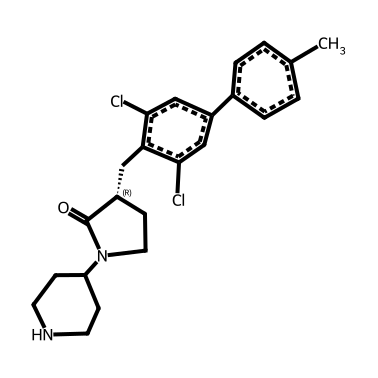 Cc1ccc(-c2cc(Cl)c(C[C@@H]3CCN(C4CCNCC4)C3=O)c(Cl)c2)cc1